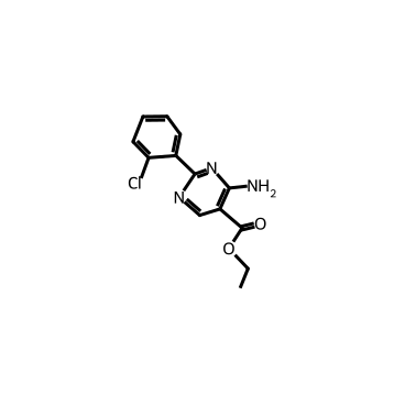 CCOC(=O)c1cnc(-c2ccccc2Cl)nc1N